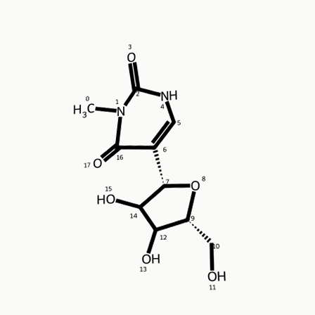 Cn1c(=O)[nH]cc([C@@H]2O[C@H](CO)C(O)C2O)c1=O